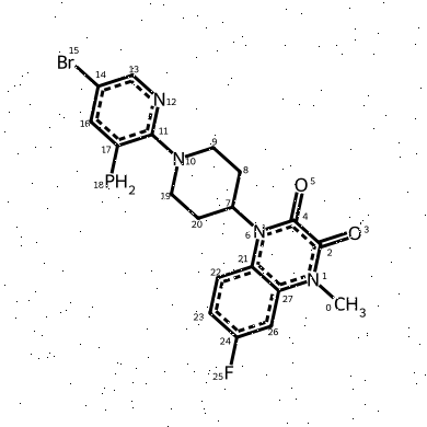 Cn1c(=O)c(=O)n(C2CCN(c3ncc(Br)cc3P)CC2)c2ccc(F)cc21